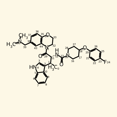 C[C@@H](c1c[nH]c2ccccc12)[C@@H](NC(=O)N1CCC(Oc2ccc(F)cc2)CC1)C(=O)N1CCOc2ccc(CN(C)C)cc21